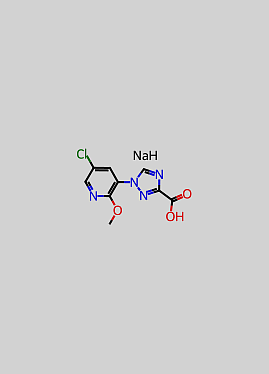 COc1ncc(Cl)cc1-n1cnc(C(=O)O)n1.[NaH]